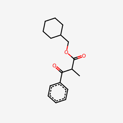 CC(C(=O)OCC1CCCCC1)C(=O)c1ccccc1